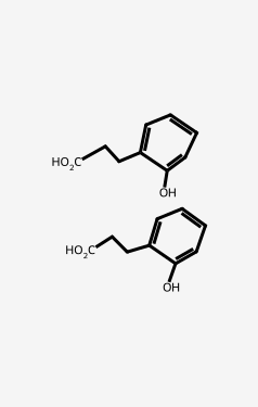 O=C(O)CCc1ccccc1O.O=C(O)CCc1ccccc1O